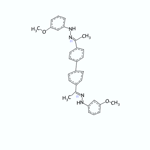 COc1cccc(N/N=C(\C)c2ccc(-c3ccc(/C(C)=N/Nc4cccc(OC)c4)cc3)cc2)c1